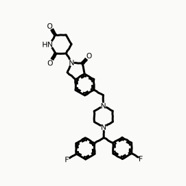 O=C1CCC(N2Cc3ccc(CN4CCN(C(c5ccc(F)cc5)c5ccc(F)cc5)CC4)cc3C2=O)C(=O)N1